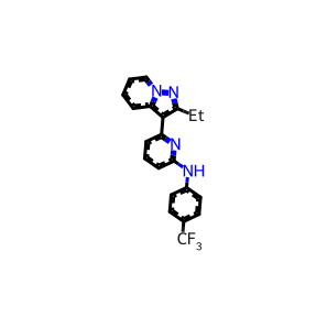 CCc1nn2ccccc2c1-c1cccc(Nc2ccc(C(F)(F)F)cc2)n1